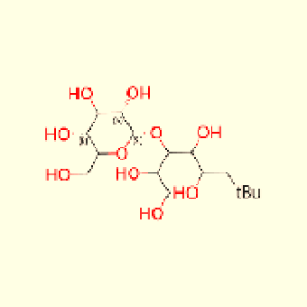 CC(C)(C)CC(O)C(O)C(O[C@@H]1OC(CO)[C@H](O)C(O)[C@@H]1O)C(O)CO